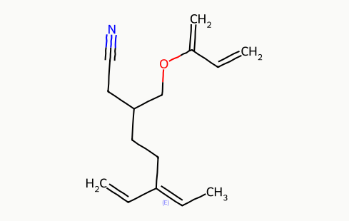 C=CC(=C)OCC(CC#N)CC/C(C=C)=C\C